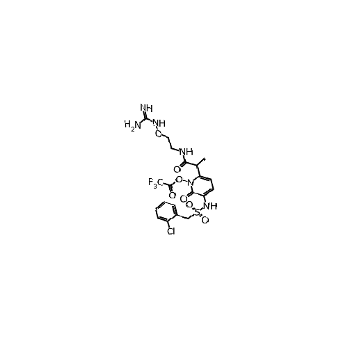 CC(C(=O)NCCONC(=N)N)c1ccc(NS(=O)(=O)Cc2ccccc2Cl)c(=O)n1OC(=O)C(F)(F)F